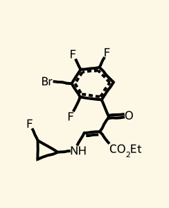 CCOC(=O)C(=CNC1CC1F)C(=O)c1cc(F)c(F)c(Br)c1F